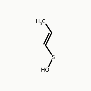 C/C=C/SO